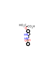 O=C(O)C(Oc1ccc2c(c1)NC(CNS(=O)(=O)c1ccccc1)C2)C(=O)O